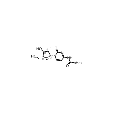 CCCCCCC(=O)Nc1ccn([C@@H]2O[C@H](CO)[C@@H](O)[C@@H]2C)c(=O)n1